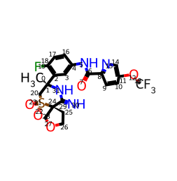 C[C@@]1(c2cc(NC(=O)c3ccc(OC(F)(F)F)cn3)ccc2F)CS(=O)(=O)[C@]2(CCOC2)C(=N)N1